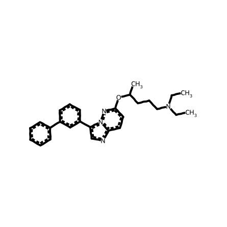 CCN(CC)CCCC(C)Oc1ccc2ncc(-c3cccc(-c4ccccc4)c3)n2n1